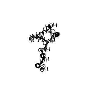 O=C(O)C[C@@H]1NC(=O)CNC(=O)[C@H](CCCNC2=NCCN2)NC(=O)[C@H](CCCCNC(=O)c2ccc(N/N=C/c3ccccc3S(=O)O)nc2)NC(=O)[C@@H](Cc2ccccc2)NC1=O